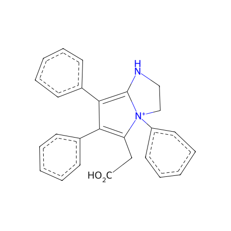 O=C(O)CC1=C(c2ccccc2)C(c2ccccc2)=C2NCC[N+]12c1ccccc1